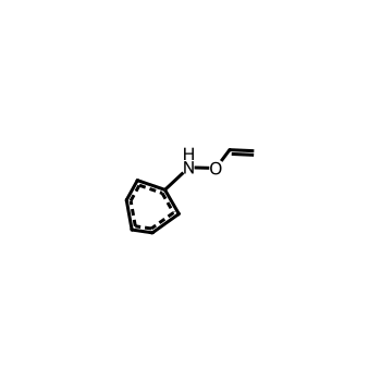 C=CONc1ccccc1